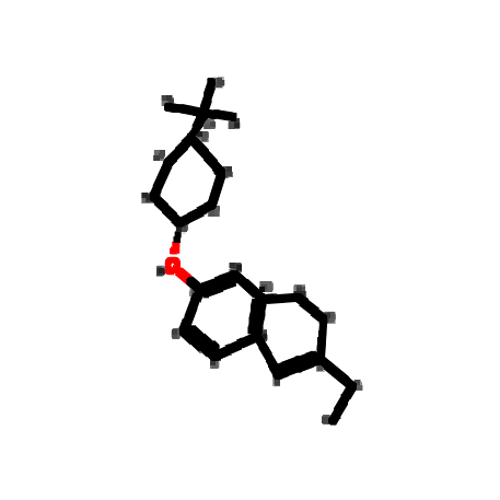 CCC1=Cc2ccc(O[C@H]3CC[C@H](C(C)(C)C)CC3)cc2CC1